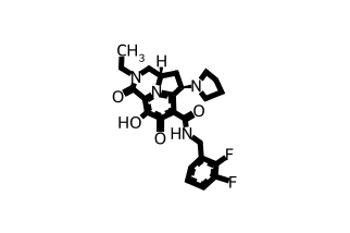 CCN1C[C@@H]2C[C@@H](N3CCCC3)c3c(C(=O)NCc4cccc(F)c4F)c(=O)c(O)c(n32)C1=O